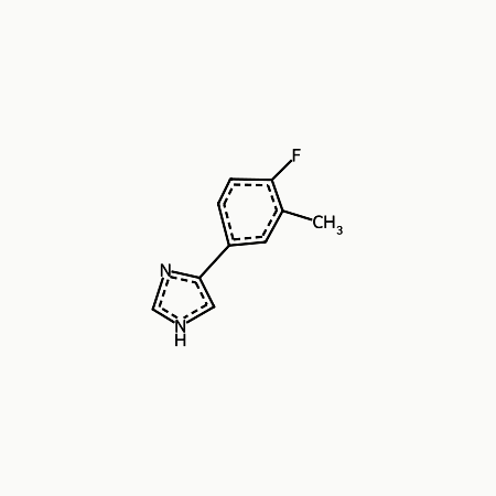 Cc1cc(-c2c[nH]cn2)ccc1F